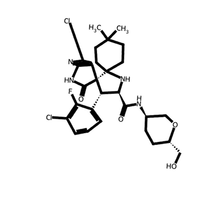 CC1(C)CCC2(CC1)N[C@@H](C(=O)N[C@@H]1CC[C@@H](CO)OC1)[C@H](c1cccc(Cl)c1F)[C@]21C(=O)Nc2nc(Cl)ccc21